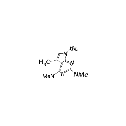 CNc1nc(NC)c2c(C)cn(C(C)(C)C)c2n1